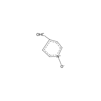 O=Cc1cc[n+]([O-])cc1